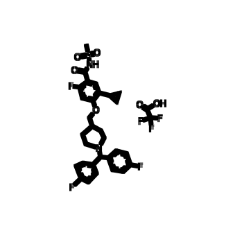 CS(=O)(=O)NC(=O)c1cc(C2CC2)c(OCC2CCN(C(c3ccc(F)cc3)c3ccc(F)cc3)CC2)cc1F.O=C(O)C(F)(F)F